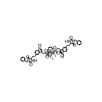 CN(C)C(Cc1c[nH]c2ccc(CCC3NC(=O)N(Cc4ccccc4)C3=O)cc12)OC(=O)/C=C\C(=O)OC(Cc1c[nH]c2ccc(CCC3NC(=O)N(Cc4ccccc4)C3=O)cc12)N(C)C